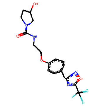 O=C(NCCOc1ccc(-c2noc(C(F)(F)F)n2)cc1)N1CCC(O)C1